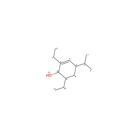 CCC1=CC(C(C)C)CC(CC)C1O